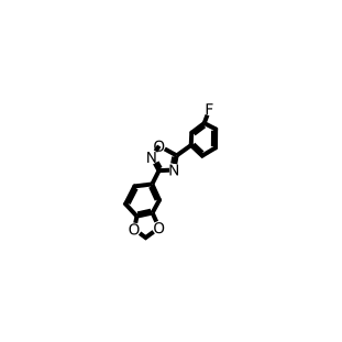 Fc1cccc(-c2nc(-c3ccc4c(c3)OCO4)no2)c1